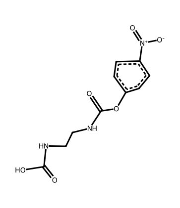 O=C(O)NCCNC(=O)Oc1ccc([N+](=O)[O-])cc1